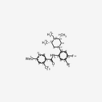 COc1cc(C(F)(F)F)c(C(=O)Nc2cc(Br)c(F)cc2N2C[C@@H](C)N(C)[C@@H](C)C2)cn1